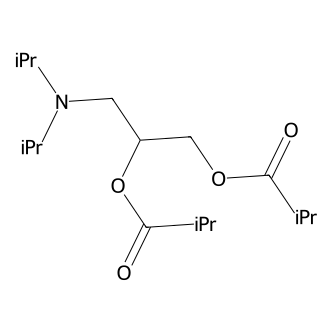 CC(C)C(=O)OCC(CN(C(C)C)C(C)C)OC(=O)C(C)C